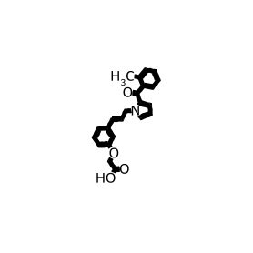 Cc1ccccc1C(=O)c1cccn1CC=Cc1cccc(OCC(=O)O)c1